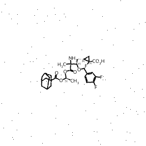 C[C@@H](OC(=O)C12CC3CC(CC(C3)C1)C2)OC(=O)C(C)(N)[C@@H](C[C@@H]1C[C@@]1(F)C(=O)O)OCc1ccc(F)c(F)c1